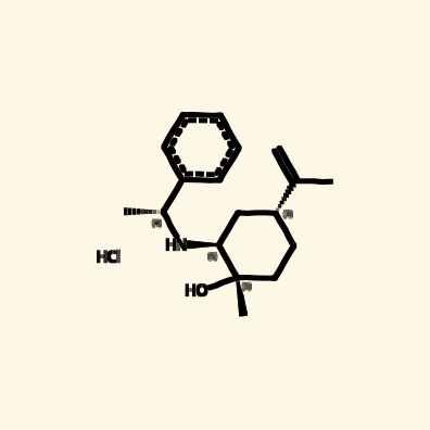 C=C(C)[C@@H]1CC[C@](C)(O)[C@@H](N[C@H](C)c2ccccc2)C1.Cl